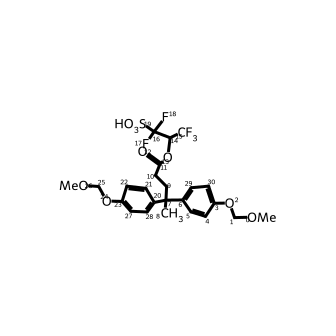 COCOc1ccc(C(C)(CCC(=O)OC(C(F)(F)F)C(F)(F)S(=O)(=O)O)c2ccc(OCOC)cc2)cc1